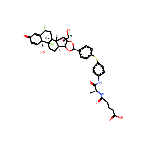 C[C@H](NC(=O)CCCC(=O)O)C(=O)Nc1ccc(Sc2ccc([C@@H]3O[C@@H]4C[C@H]5[C@@H]6C[C@H](F)C7=CC(=O)C=C[C@]7(C)[C@@]6(F)[C@@H](O)C[C@]5(C)[C@]4(C(=O)CO)O3)cc2)cc1